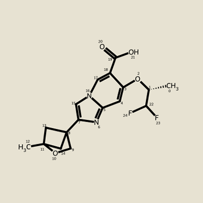 C[C@@H](Oc1cc2nc(C34COC(C)(C3)C4)cn2cc1C(=O)O)C(F)F